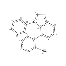 O=[N+]([O-])c1ccccc1-c1cccc2cnn(-c3ccccc3)c12